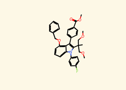 COCC(C)(COC)c1c(-c2ccc(C(=O)OC)cc2)c2c(OCc3ccccc3)cccc2n1-c1ccc(F)cc1